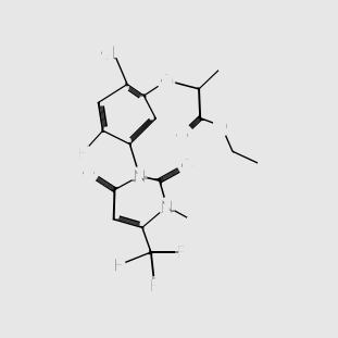 CCOC(=O)C(C)Oc1cc(-n2c(=O)cc(C(F)(F)F)n(C)c2=O)c(F)cc1Cl